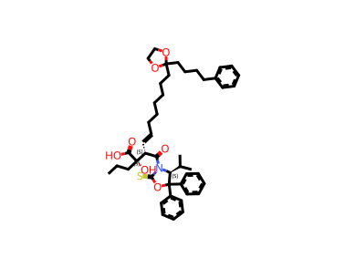 CCC[C@@](O)(C(=O)O)[C@H](C=CCCCCCCC1(CCCCc2ccccc2)OCCO1)C(=O)N1C(=S)OC(c2ccccc2)(c2ccccc2)[C@@H]1C(C)C